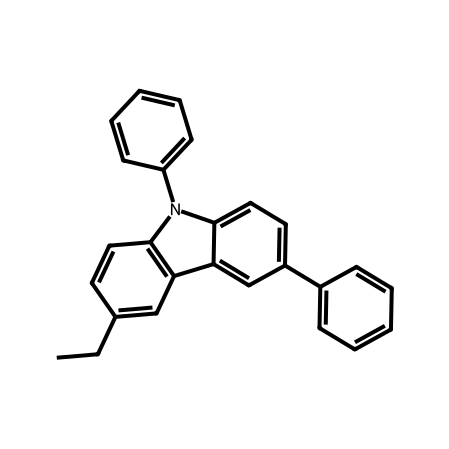 CCc1ccc2c(c1)c1cc(-c3ccccc3)ccc1n2-c1ccccc1